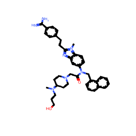 CN(CCCO)C1CCN(CC(=O)N(Cc2cccc3ccccc23)c2ccc3c(c2)nc(CCc2ccc(C(=N)N)cc2)n3C)CC1